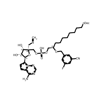 C=NC[C@]1(COP(=O)(O)OC[C@@H](CCCCCCCCCCCCCCCCCC)OCc2cc(F)cc(C#N)c2)O[C@@H](c2ccc3c(N)ncnn23)[C@H](O)[C@@H]1O